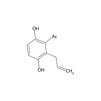 C=CCc1c(O)ccc(O)c1C(C)=O